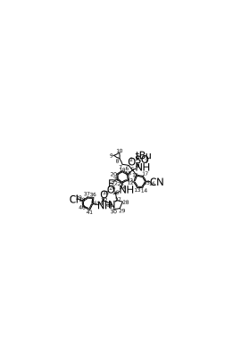 CC(C)(C)S(=O)(=O)NC(CCC1CC1)(c1cccc(C#N)c1)c1ccc(F)c(NC(=O)C2CCCN2C(=O)Nc2ccc(Cl)cc2)c1